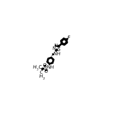 CC(C)S(=O)(=O)N[C@H]1CC[C@H](CNc2nnc(-c3ccc(F)cc3)s2)CC1